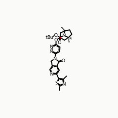 Cc1nc(C)c(-c2cc3c(cn2)CN(c2ccc(OC4C[C@]5(C)CC[C@](C)(C4)N5C(=O)OC(C)(C)C)nn2)C3=O)s1